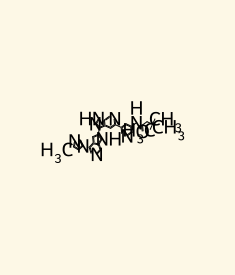 Cc1cn(-c2cncc3[nH]c(-c4n[nH]c5cnc(-c6cncc(NC(=O)CC(C)(C)C)c6)cc45)cc23)cn1